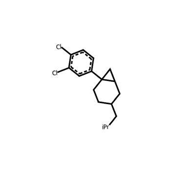 CC(C)CC1CCC2(c3ccc(Cl)c(Cl)c3)CC2C1